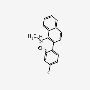 C[SiH](C)c1c(-c2ccc(Cl)cc2)ccc2ccccc12